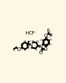 CCOC1CCC(C)(N2CCC(n3c(=O)oc4ccc(OC(F)F)cc43)CC2)CC1.Cl